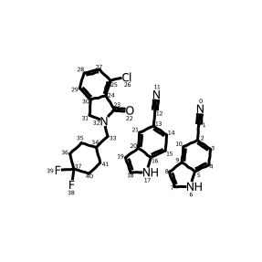 N#Cc1ccc2[nH]ccc2c1.N#Cc1ccc2[nH]ccc2c1.O=C1c2c(Cl)cccc2CN1CC1CCC(F)(F)CC1